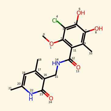 COc1c(Cl)c(O)c(O)c(C)c1C(=O)NCc1c(C)cc(C)[nH]c1=O